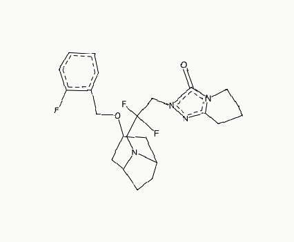 O=c1n(CC(F)(F)CN2C3CCC2CC(OCc2ccccc2F)C3)nc2n1CCC2